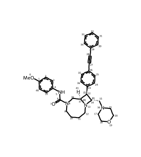 COc1ccc(NC(=O)N2CCCCN3[C@@H](CN4CCOCC4)[C@H](c4ccc(C#Cc5ccccc5)cc4)[C@@H]3C2)cc1